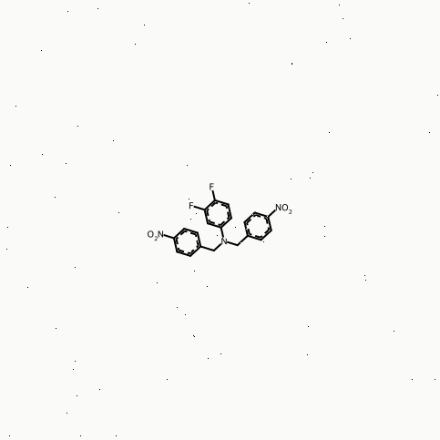 O=[N+]([O-])c1ccc(CN(Cc2ccc([N+](=O)[O-])cc2)c2ccc(F)c(F)c2)cc1